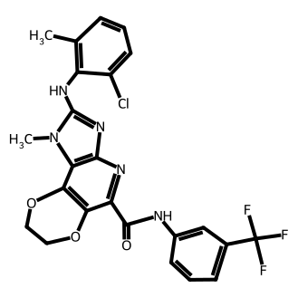 Cc1cccc(Cl)c1Nc1nc2nc(C(=O)Nc3cccc(C(F)(F)F)c3)c3c(c2n1C)OCCO3